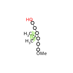 COc1ccc(-c2ccc(-c3ccc4c(c3)C(C(F)(F)C(C)(F)F)(C(F)(F)C(C)(F)F)c3cc(-c5ccc(-c6ccc(O)cc6)cc5)ccc3-4)cc2)cc1